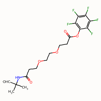 CC(C)([C]=O)NC(=O)CCOCCOCCC(=O)Oc1c(F)c(F)c(F)c(F)c1F